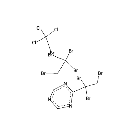 BrCC(Br)(Br)Br.BrCC(Br)(Br)c1ncncn1.ClC(Cl)(Cl)Br